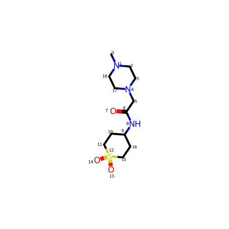 CN1CCN(CC(=O)NC2CCS(=O)(=O)CC2)CC1